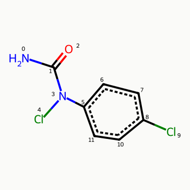 NC(=O)N(Cl)c1ccc(Cl)cc1